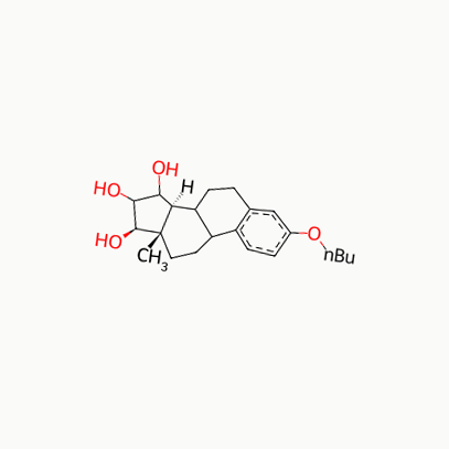 CCCCOc1ccc2c(c1)CCC1C2CC[C@@]2(C)[C@H]1C(O)C(O)[C@@H]2O